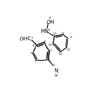 Cc1ccc(C=O)cc1.ONc1ccccc1.[N]